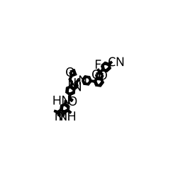 Cc1n[nH]c2c(C)cc(NC(=O)c3ccc4c(c3)nc(CN3CCC(c5cccc6c5OC(C)(c5ccc(C#N)cc5F)O6)CC3)n4CC3CCO3)cc12